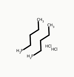 CCCCP.CCCCP.Cl.Cl